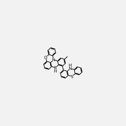 Cc1cc(-c2cccc3c2Nc2ccccc2S3)c2c(c1)N1c3ccccc3Oc3cccc(c31)B2